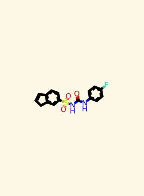 O=C(Nc1ccc(F)cc1)NS(=O)(=O)c1ccc2c(c1)CC=C2